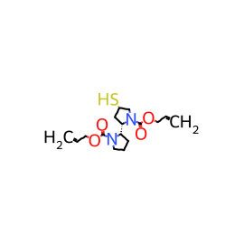 C=CCOC(=O)N1CCCC1[C@@H]1C[C@H](S)CN1C(=O)OCC=C